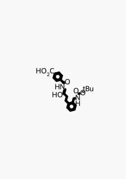 CC(C)(C)OC(=O)NCc1ccccc1CC/C(O)=C/NC(=O)c1ccc(C(=O)O)cc1